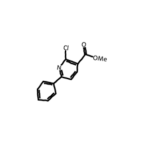 COC(=O)c1ccc(-c2ccccc2)nc1Cl